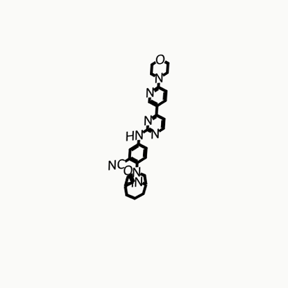 N#Cc1cc(Nc2nccc(-c3ccc(N4CCOCC4)nc3)n2)ccc1N1CC2CCCC(C1)C(=O)N2